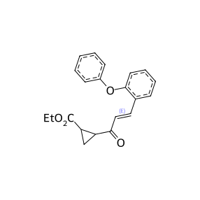 CCOC(=O)C1CC1C(=O)/C=C/c1ccccc1Oc1ccccc1